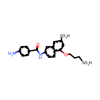 Nc1ccc(C(=O)Nc2ccc3c(OCCCS(=O)(=O)O)cc(S(=O)(=O)O)cc3c2)cc1